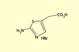 Br.Nc1ncc(CC(=O)O)s1